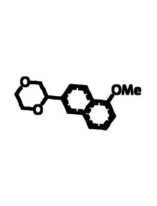 COc1cccc2cc(C3COCCO3)ccc12